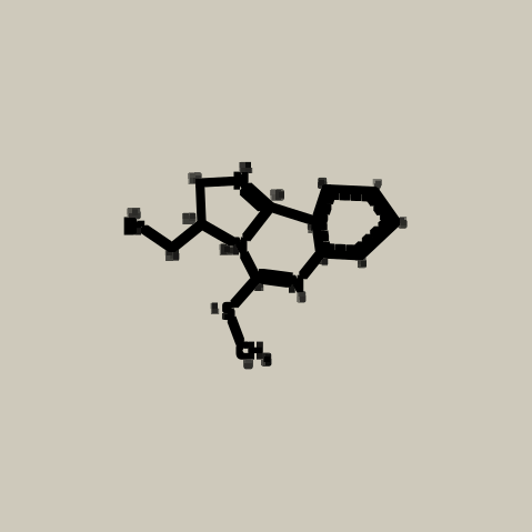 CSC1=Nc2ccccc2C2=NCC(CBr)N12